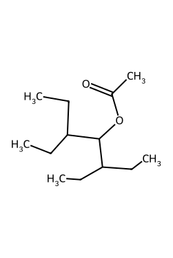 CCC(CC)C(OC(C)=O)C(CC)CC